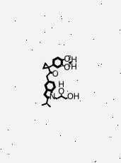 [2H]C1([2H])Oc2ccc(C3(C(=O)Cc4ccc5c(c4)cc(C(C)C)n5C[C@@H](O)CO)CC3)cc2O1